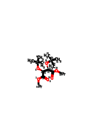 CC(C)OC(=O)[C@@H](O[Si](C)(C)C)[C@H](O[Si](C)(C)C)C(=O)OC(C)C